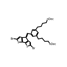 CCCCCCCCCCCCCCc1cc(C=C2c3cc(Br)sc3-c3sc(Br)cc32)cc(CCCCCCCCCCCCCC)c1